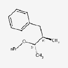 CCCO[C@@H](C)[C@H](C)Cc1ccccc1